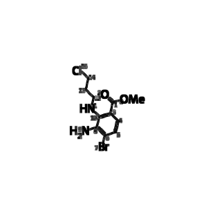 COC(=O)c1ccc(Br)c(N)c1NCCCCl